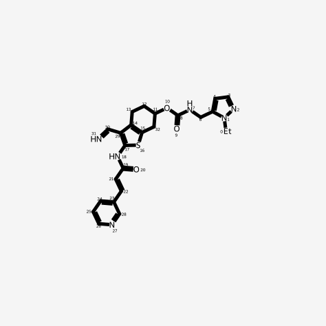 CCn1nccc1CNC(=O)OC1CCc2c(sc(NC(=O)/C=C/c3cccnc3)c2C=N)C1